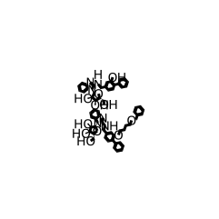 OC[C@H]1O[C@@H](n2c(NCc3ccc(-c4ccccc4)c(O)c3)nc3ccccc32)[C@H](O)[C@@H]1O.OC[C@H]1O[C@@H](n2c(NCc3ccc(-c4ccccc4)c(OCCCCOCc4ccccc4)c3)nc3ccccc32)[C@H](O)[C@@H]1O